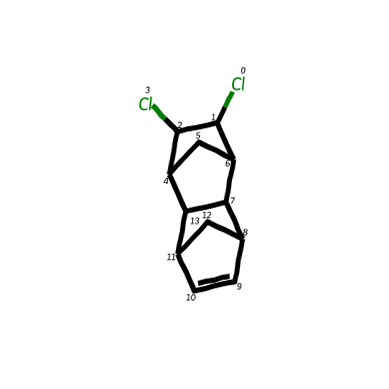 ClC1C(Cl)C2CC1C1C3C=CC(C3)C21